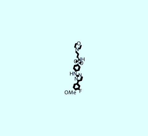 COc1ccc(-c2ccnc(Nc3ccc(S(=O)(=O)NCCCN4CCOCC4)cc3)n2)cc1F